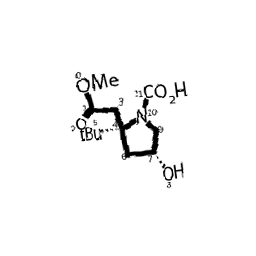 COC(=O)C[C@]1(C(C)(C)C)C[C@@H](O)CN1C(=O)O